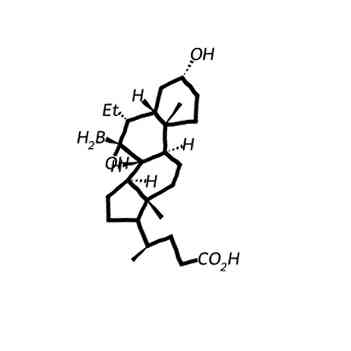 B[C@]1(O)[C@@H]2[C@H](CC[C@]3(C)C([C@H](C)CCC(=O)O)CC[C@@H]23)[C@@]2(C)CC[C@@H](O)C[C@H]2[C@H]1CC